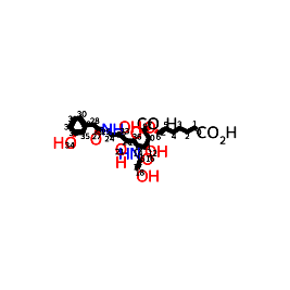 O=C(O)CCCCCCO[C@]1(C(=O)O)C[C@H](O)[C@@H](NC(=O)CO)[C@H]([C@H](O)[C@H](O)CNC(=O)Cc2cccc(O)c2)O1